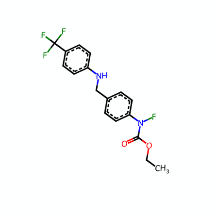 CCOC(=O)N(F)c1ccc(CNc2ccc(C(F)(F)F)cc2)cc1